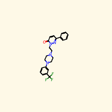 O=c1ccc(-c2ccccc2)nn1CCN1CCN(c2cccc(C(F)(F)F)c2)CC1